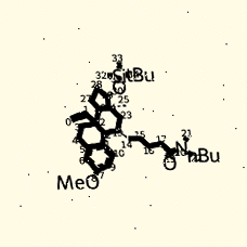 C=CC12CCc3cc(OC)ccc3C1[C@@H](CCCCC(=O)N(C)CCCC)C[C@@]1(C)C2CC[C@@H]1O[Si](C)(C)C(C)(C)C